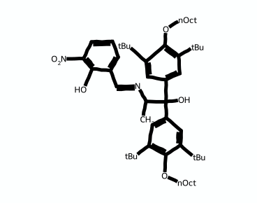 CCCCCCCCOc1c(C(C)(C)C)cc(C(O)(c2cc(C(C)(C)C)c(OCCCCCCCC)c(C(C)(C)C)c2)C(C)N=Cc2cccc([N+](=O)[O-])c2O)cc1C(C)(C)C